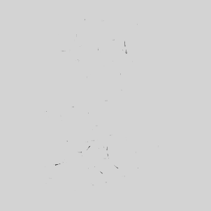 C=CCN1CC[C@]23c4c5ccc(O)c4O[C@H]2C(=O)CC[C@@]3(O)[C@H]1C5.Oc1ccc2c3c1O[C@H]1[C@@H](O)CC[C@@]4(O)[C@@H](C2)N(CC2CCC2)CC[C@]314